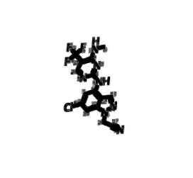 CNc1nc(Nc2cc(Cl)cc3c2cnn3CC#N)ncc1C(F)(F)F